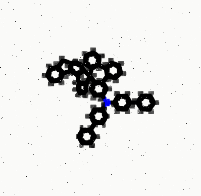 c1ccc(-c2ccc(N(c3ccc(-c4ccccc4)cc3)c3ccc4c(c3)-c3ccccc3-c3ccccc3C43c4ccccc4-c4c3ccc3c4-c4ccccc4C3)cc2)cc1